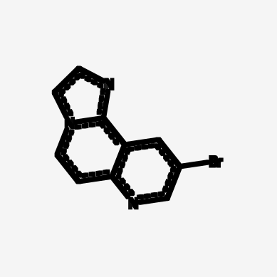 Brc1cnc2ccn3ccnc3c2c1